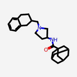 O=C(NC1CCN(CC2CCc3ccccc3C2)C1)C12CC3CC(CC(C3)C1)C2